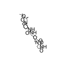 C=C(Cn1ccc2ccc(NC(=O)NCc3ccc4c(c3)CN(C3CCC(=O)NC3=O)C4=O)cc21)C(=O)OC(C)(C)C